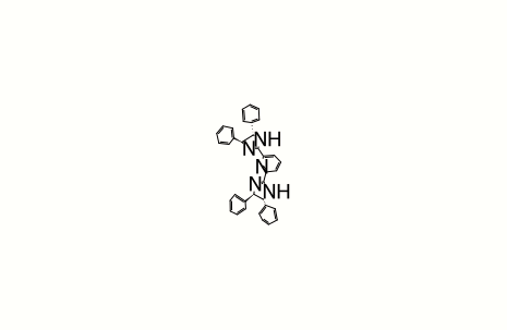 c1ccc([C@H]2N=C(c3cccc(C4=N[C@@H](c5ccccc5)[C@H](c5ccccc5)N4)n3)N[C@@H]2c2ccccc2)cc1